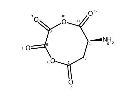 N[C@H]1CC(=O)OC(=O)C(=O)OC1=O